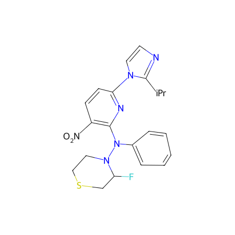 CC(C)c1nccn1-c1ccc([N+](=O)[O-])c(N(c2ccccc2)N2CCSCC2F)n1